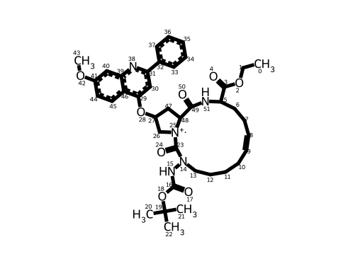 CCOC(=O)C1CCC=CCCCCN(NC(=O)OC(C)(C)C)C(=O)[N+]2CC(Oc3cc(-c4ccccc4)nc4cc(OC)ccc34)CC2C(=O)N1